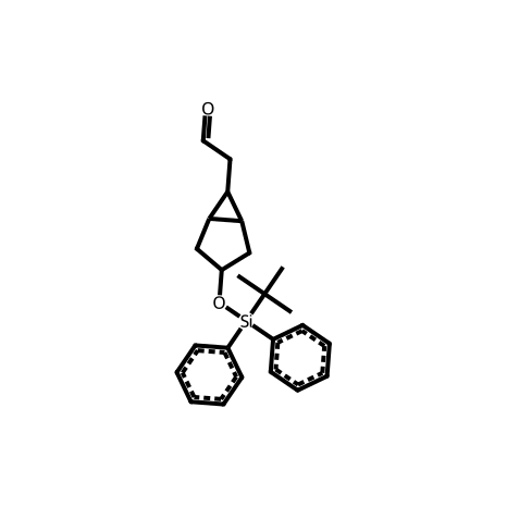 CC(C)(C)[Si](OC1CC2C(CC=O)C2C1)(c1ccccc1)c1ccccc1